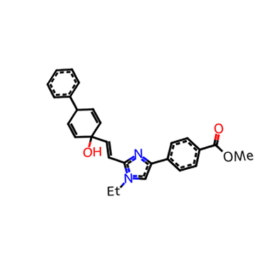 CCn1cc(-c2ccc(C(=O)OC)cc2)nc1/C=C/C1(O)C=CC(c2ccccc2)C=C1